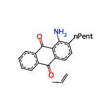 C=CC.CCCCCc1ccc2c(c1N)C(=O)c1ccccc1C2=O